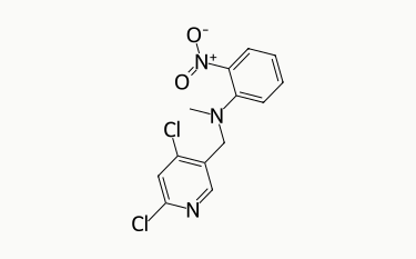 CN(Cc1cnc(Cl)cc1Cl)c1ccccc1[N+](=O)[O-]